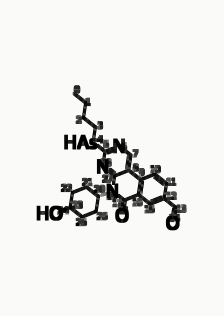 CCCC[AsH]c1ncc2c3ccc(C=O)cc3c(=O)n([C@H]3CC[C@H](O)CC3)c2n1